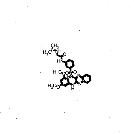 COc1cc(Nc2nc3ccccc3nc2NS(=O)(=O)c2cccc(NC(=O)CNN(C)C)c2)cc(OC)c1